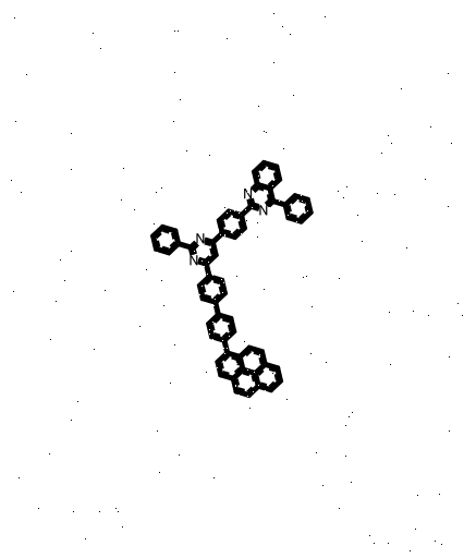 c1ccc(-c2nc(-c3ccc(-c4ccc(-c5ccc6ccc7cccc8ccc5c6c78)cc4)cc3)cc(-c3ccc(-c4nc(-c5ccccc5)c5ccccc5n4)cc3)n2)cc1